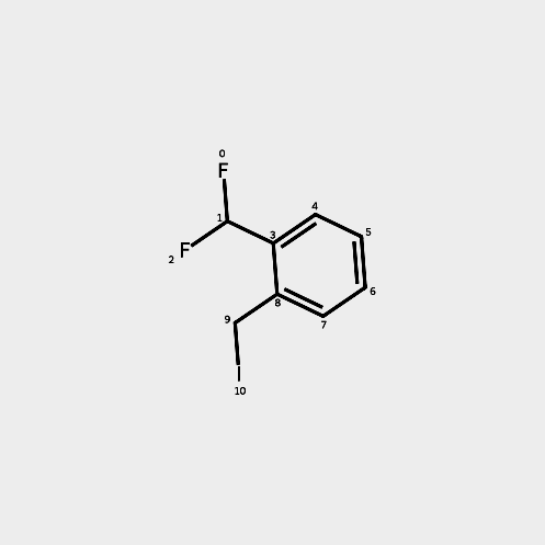 FC(F)c1ccccc1CI